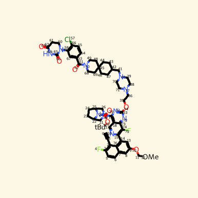 C#Cc1c(F)ccc2cc(OCOC)cc(-c3ncc4c(N5CC6CCC(C5)N6C(=O)OC(C)(C)C)nc(OCCN5CCN(CC6CCC7(CC6)CCN(C(=O)c6ccc(Cl)c(N8CCC(=O)NC8=O)c6)CC7)CC5)nc4c3F)c12